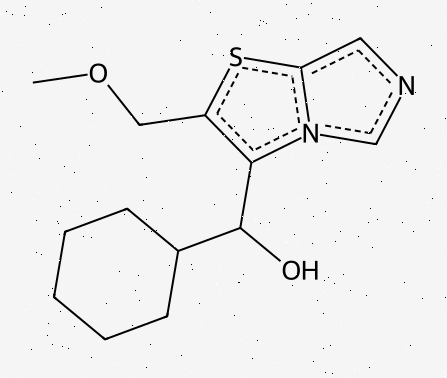 COCc1sc2cncn2c1C(O)C1CCCCC1